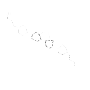 CCCC[C@H]1CC[C@H](c2ccc(-c3ccc([C@H]4CC[C@H](CCCC)CC4)cc3F)c(F)c2)CC1